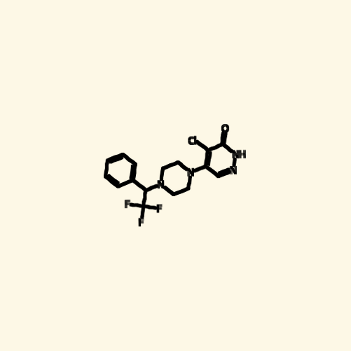 O=c1[nH]ncc(N2CCN(C(c3ccccc3)C(F)(F)F)CC2)c1Cl